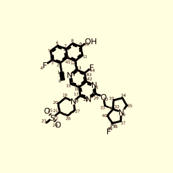 C#Cc1c(F)ccc2cc(O)cc(-c3ncc4c(N5CCC(S(C)(=O)=O)CC5)nc(OC[C@@]56CCCN5C[C@H](F)C6)nc4c3F)c12